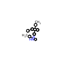 CC1C=CC(C2NC3=C(C=CC3)N2c2ccc(-c3c4ccccc4c(C4CCC(C)CC4)c4ccc(C5=CCCC=C5)cc34)cc2)=CC1